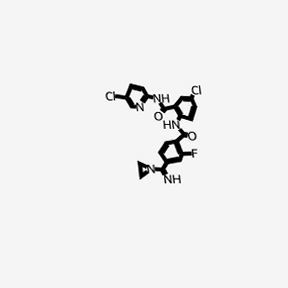 N=C(c1ccc(C(=O)Nc2ccc(Cl)cc2C(=O)Nc2ccc(Cl)cn2)c(F)c1)N1CC1